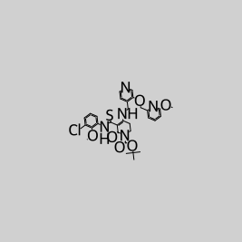 COc1cccc(COc2cnccc2CNC2=C(C(=S)Nc3cccc(Cl)c3OC)C(=O)N(C(=O)OC(C)(C)C)CC2)n1